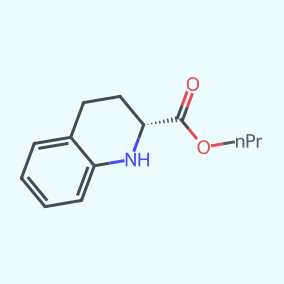 CCCOC(=O)[C@H]1CCc2ccccc2N1